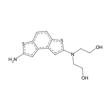 Nc1cc2c(ccc3sc(N(CCO)CCO)cc32)s1